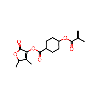 C=C(C)C(=O)OC1CCC(C(=O)OC2=C(C)C(C)OC2=O)CC1